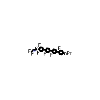 CCCc1ccc(-c2ccc(-c3ccc(-c4cc(F)c(O/C=C/C(F)F)c(F)c4)c(F)c3)c(F)c2)c(F)c1